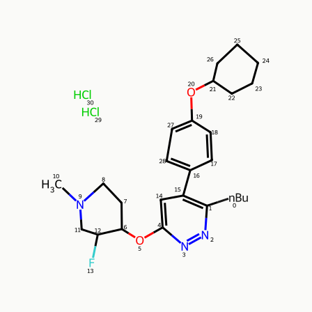 CCCCc1nnc(OC2CCN(C)CC2F)cc1-c1ccc(OC2CCCCC2)cc1.Cl.Cl